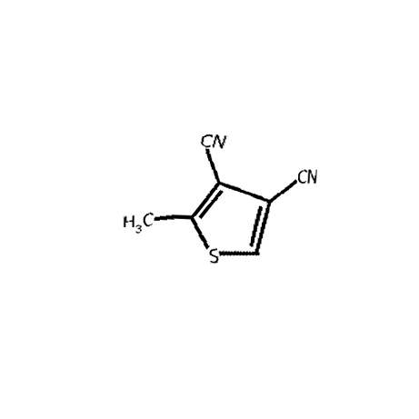 Cc1scc(C#N)c1C#N